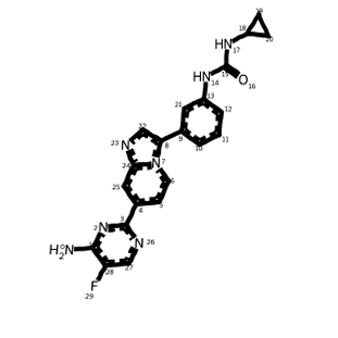 Nc1nc(-c2ccn3c(-c4cccc(NC(=O)NC5CC5)c4)cnc3c2)ncc1F